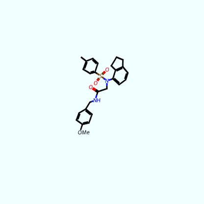 COc1ccc(CNC(=O)CN(c2cccc3c2CCC3)S(=O)(=O)c2ccc(C)cc2)cc1